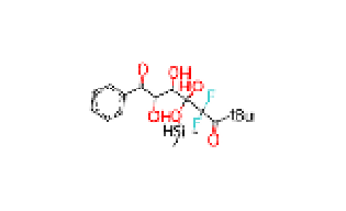 C[SiH](C)O[C@](O)([C@H](O)C(O)C(=O)c1ccccc1)C(F)(F)C(=O)C(C)(C)C